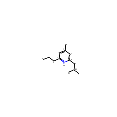 CCCc1cc(C)cc(CC(C)C)n1